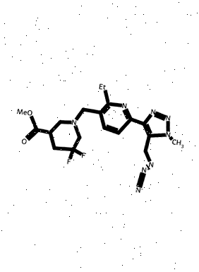 CCc1nc(-c2nnn(C)c2CN=[N+]=[N-])ccc1CN1CC(C(=O)OC)CC(F)(F)C1